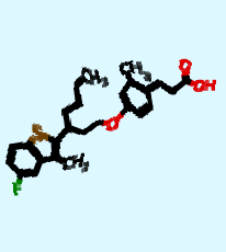 CCCCC(CCOc1ccc(CCC(=O)O)c(C)c1)c1sc2ccc(F)cc2c1C